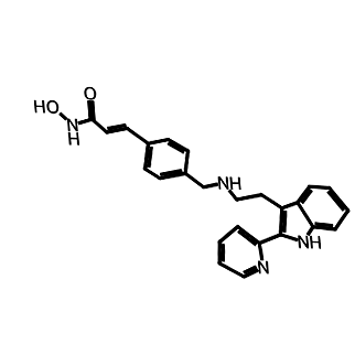 O=C(/C=C/c1ccc(CNCCc2c(-c3ccccn3)[nH]c3ccccc23)cc1)NO